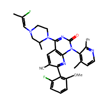 COc1cccc(F)c1-c1nc2c(cc1C#N)c(N1CCN(C=C(C)F)CC1C)nc(=O)n2-c1c(C)ccnc1C(C)C